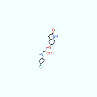 CN(Cc1ccc(Cl)cc1)CC(O)COc1ccc2[nH]c(=O)ccc2c1